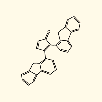 O=C1C=CC(c2cccc3c2Cc2ccccc2-3)=C1c1cccc2c1Cc1ccccc1-2